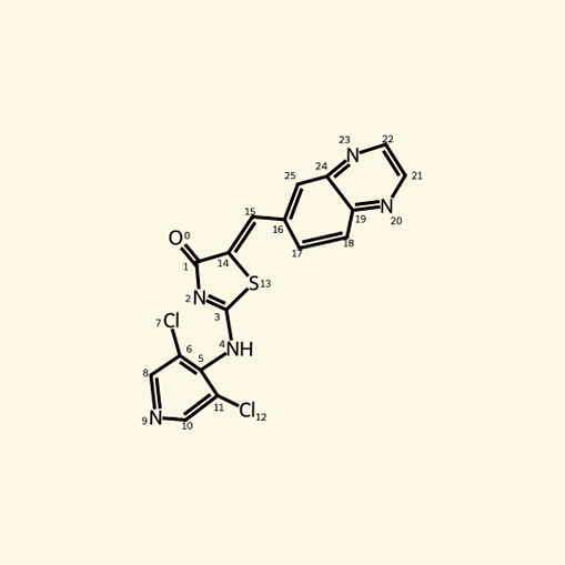 O=C1N=C(Nc2c(Cl)cncc2Cl)S/C1=C\c1ccc2nccnc2c1